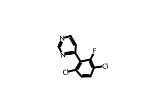 Fc1c(Cl)ccc(Cl)c1-c1ccncn1